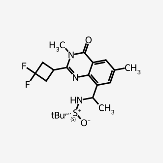 Cc1cc(C(C)N[S@+]([O-])C(C)(C)C)c2nc(C3CC(F)(F)C3)n(C)c(=O)c2c1